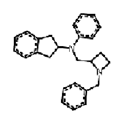 c1ccc(CN2CCC2CN(c2ccccc2)C2Cc3ccccc3C2)cc1